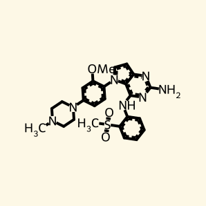 COc1cc(N2CCN(C)CC2)ccc1-n1ccc2nc(N)nc(Nc3ccccc3S(C)(=O)=O)c21